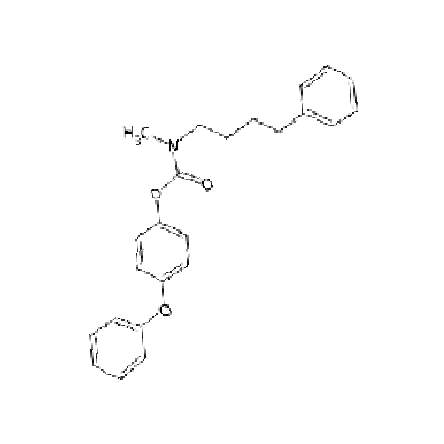 CN(CCCCc1ccccc1)C(=O)Oc1ccc(Oc2ccccc2)cc1